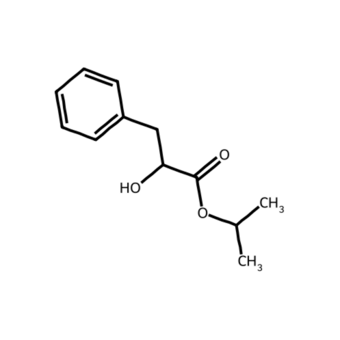 CC(C)OC(=O)C(O)Cc1ccccc1